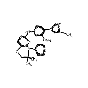 COc1cc(Nc2ncc3c(n2)N(c2ccccc2)C(C)(C)CO3)ccc1-n1cnc(C)c1